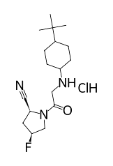 CC(C)(C)C1CCC(NCC(=O)N2C[C@@H](F)C[C@H]2C#N)CC1.Cl